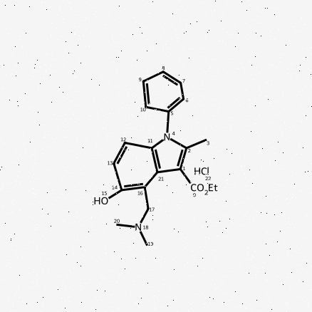 CCOC(=O)c1c(C)n(-c2ccccc2)c2ccc(O)c(CN(C)C)c12.Cl